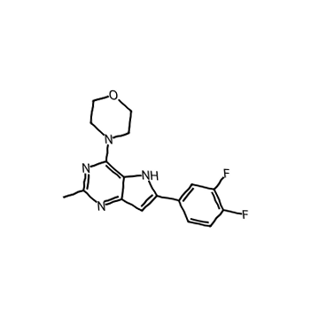 Cc1nc(N2CCOCC2)c2[nH]c(-c3ccc(F)c(F)c3)cc2n1